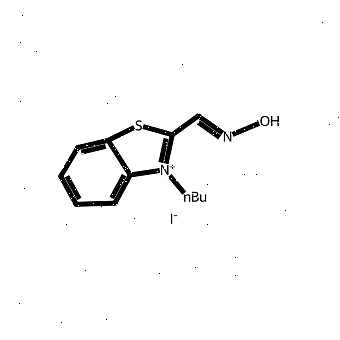 CCCC[n+]1c(C=NO)sc2ccccc21.[I-]